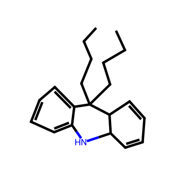 CCCCC1(CCCC)c2ccccc2NC2C=CC=CC21